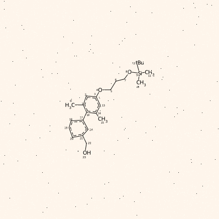 Cc1cc(OCCCO[Si](C)(C)C(C)(C)C)cc(C)c1-c1cccc(CO)c1